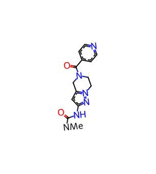 CNC(=O)Nc1cc2n(n1)CCN(C(=O)c1ccncc1)C2